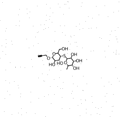 C#CCO[C@@H]1OC(CO)[C@@H](S[C@@H]2OC(C)[C@H](O)[C@H](O)C2O)[C@H](O)C1O